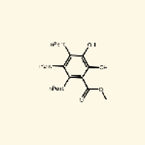 CCCCCc1c(O)c(O)c(C(=O)OI)c(CCCCC)c1CCCCC